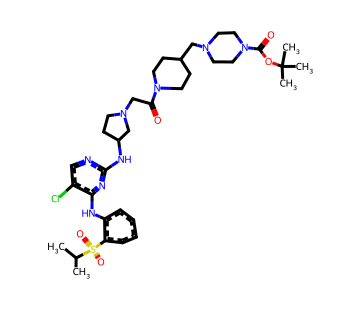 CC(C)S(=O)(=O)c1ccccc1Nc1nc(NC2CCN(CC(=O)N3CCC(CN4CCN(C(=O)OC(C)(C)C)CC4)CC3)C2)ncc1Cl